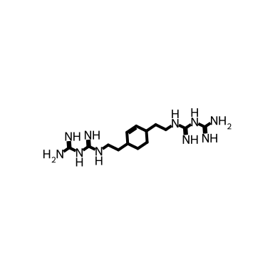 N=C(N)NC(=N)NCCC1C=CC(CCNC(=N)NC(=N)N)CC1